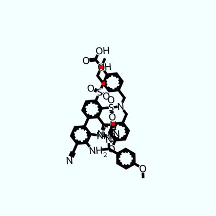 COc1ccc(CN(Cc2ccc(OC)cc2)S(=O)(=O)c2c(S(=O)(=O)CCNC(=O)O)ccc(-c3ccc(C#N)c(N)c3N)c2-c2nnn(Cc3ccc(OC)cc3)n2)cc1